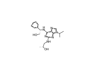 CC(C)n1cnc2c(N[C@H](CO)c3ccccc3)nc(NC[C@@H](C)O)nc21